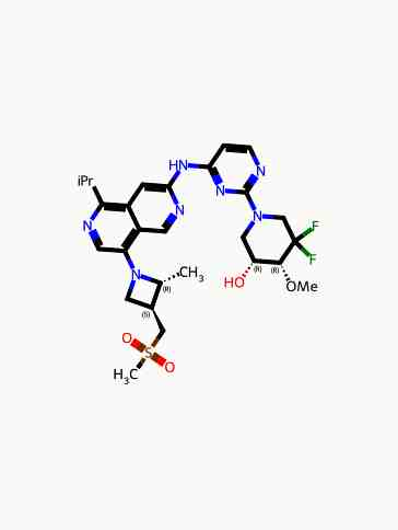 CO[C@@H]1[C@H](O)CN(c2nccc(Nc3cc4c(C(C)C)ncc(N5C[C@H](CS(C)(=O)=O)[C@H]5C)c4cn3)n2)CC1(F)F